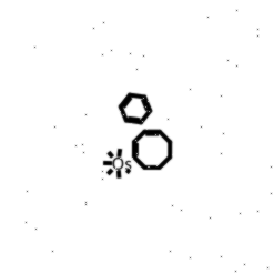 C1=C\CCCC\C=C/1.[CH3][Os]([CH3])([CH3])([CH3])([CH3])[CH3].c1ccccc1